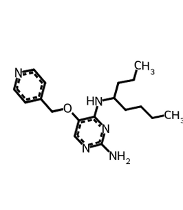 CCCCC(CCC)Nc1nc(N)ncc1OCc1ccncc1